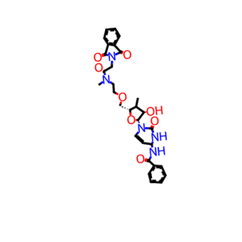 CC1[C@@H](COCCN(C)C(=O)CN2C(=O)c3ccccc3C2=O)O[C@@H](N2C=CC(NC(=O)c3ccccc3)NC2=O)[C@H]1O